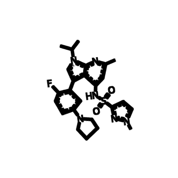 Cc1cc(NS(=O)(=O)c2ccn(C)n2)c2c(-c3cc(N4CCCC4)ccc3F)cn(C(C)C)c2n1